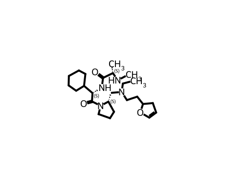 CCN(CCC1CC=CO1)C[C@@H]1CCCN1C(=O)[C@@H](NC(=O)[C@H](C)NC)C1CCCCC1